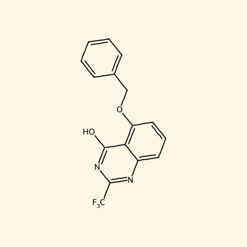 Oc1nc(C(F)(F)F)nc2cccc(OCc3ccccc3)c12